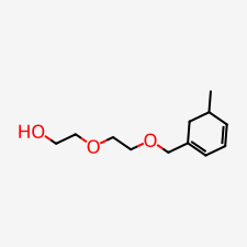 CC1C=CC=C(COCCOCCO)C1